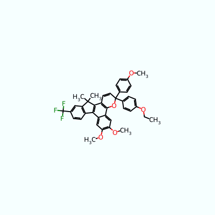 CCOc1ccc(C2(c3ccc(OC)cc3)C=Cc3c4c(c5cc(OC)c(OC)cc5c3O2)-c2ccc(C(F)(F)F)cc2C4(C)C)cc1